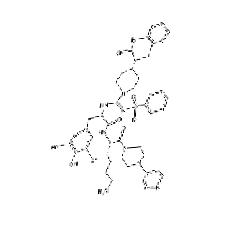 NCCCC[C@H](NC(=O)[C@@H](Cc1cc(Br)c(O)c(Br)c1)NC(=NS(=O)(=O)c1ccccc1)N1CCC(N2Cc3ccccc3NC2=O)CC1)C(=O)N1CCN(c2ccncc2)CC1